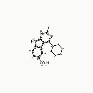 Cc1nc(N2CCCCC2)c2c(n1)[nH]c1ccc(C(=O)O)cc12